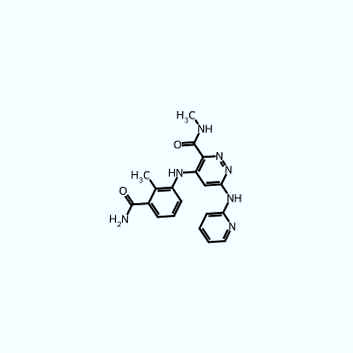 CNC(=O)c1nnc(Nc2ccccn2)cc1Nc1cccc(C(N)=O)c1C